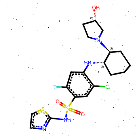 O=S(=O)(Nc1nccs1)c1cc(Cl)c(N[C@H]2CCCC[C@@H]2N2CC[C@H](O)C2)cc1F